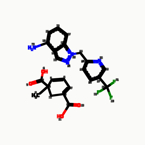 CC1(C(=O)O)C=CC=C(C(=O)O)C1.Nc1cccc2c1cnn2Cc1ccc(C(F)(F)F)cn1